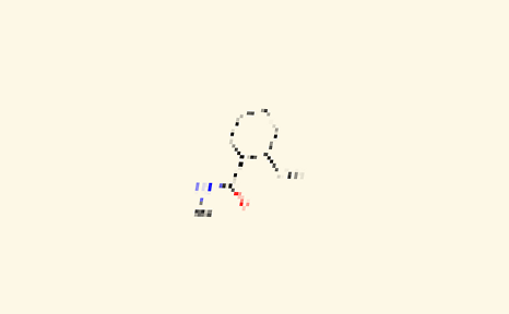 CC(C)(C)NC(=O)C1CCCCC1C(=O)O